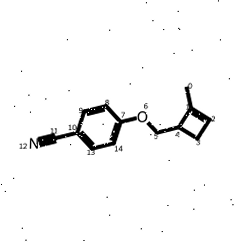 CC1=CCC1COc1ccc(C#N)cc1